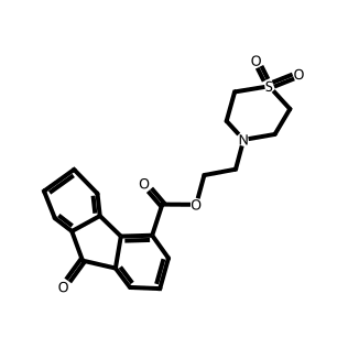 O=C(OCCN1CCS(=O)(=O)CC1)c1cccc2c1-c1ccccc1C2=O